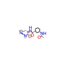 CCCC[C@H](NC(=O)c1cccc(NC(C)=O)c1)C(=O)N(C)C#N